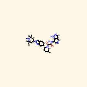 C[C@H]1CC[C@H](c2ccc3cn(C4CC(C)(C)N(C)C(C)(C)C4)nc3c2)N(C(=O)C(=O)Nc2cncc3cn[nH]c23)C1